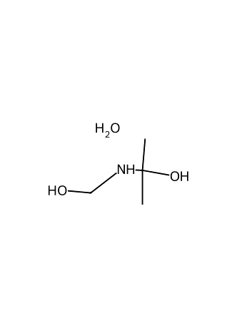 CC(C)(O)NCO.O